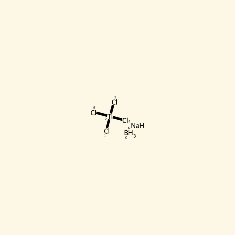 B.[Cl][Ti]([Cl])([Cl])[Cl].[NaH]